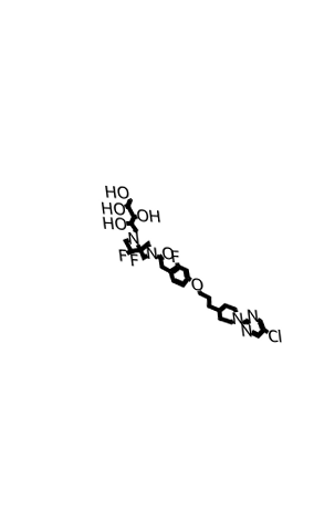 O=C(Cc1ccc(OCCCC2CCN(c3ncc(Cl)cn3)CC2)cc1F)N1CC2(C1)N(CC(O)C(O)C(O)CO)CC2(F)F